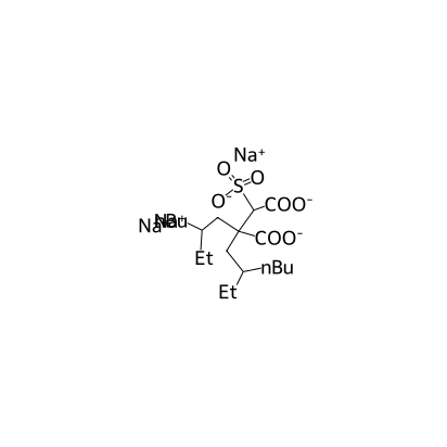 CCCCC(CC)CC(CC(CC)CCCC)(C(=O)[O-])C(C(=O)[O-])S(=O)(=O)[O-].[Na+].[Na+].[Na+]